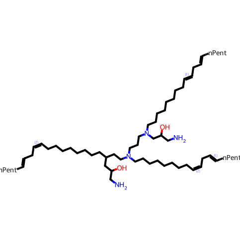 CCCCCC=CC/C=C\CCCCCCCCC(CCN(CCCCCCCC/C=C\C/C=C/CCCCC)CCCN(CCCCCCCC/C=C/CC=CCCCCC)CC(O)CN)CC(O)CN